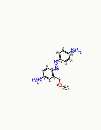 CCOCc1cc(N)ccc1N=Nc1ccc(N)cc1